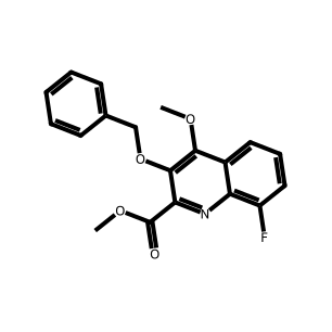 COC(=O)c1nc2c(F)cccc2c(OC)c1OCc1ccccc1